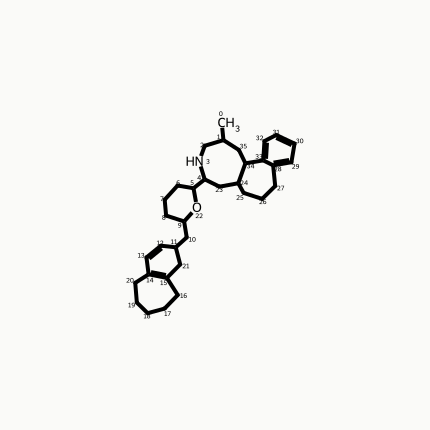 CC1CNC(C2CCCC(CC3C=CC4=C(CCCCC4)C3)O2)CC2CCCc3ccccc3C2C1